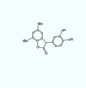 CCCc1ccc(C2C(=O)Oc3c2cc(C(C)(C)C)cc3C(C)(C)C)cc1CCC